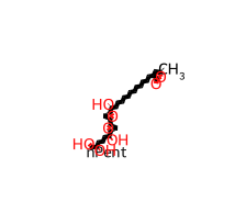 CCCCC[C@H](O)[C@H](O)CCC[C@H](O)[C@H]1CC[C@H]([C@H]2CC[C@H]([C@H](O)CCCCCCCCCCCCC3=C[C@H](C)OC3=O)O2)O1